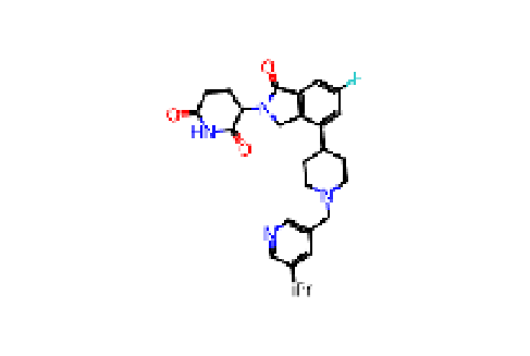 CC(C)c1cncc(CN2CCC(c3cc(F)cc4c3CN(C3CCC(=O)NC3=O)C4=O)CC2)c1